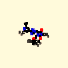 CN1C(=O)/C(=C/n2cnc(-c3cc(C4CC4)nc(C(F)(F)F)c3)n2)N(CCO[Si](C)(C)C(C)(C)C)C1=O